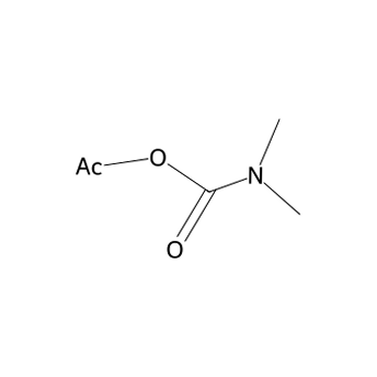 CC(=O)OC(=O)N(C)C